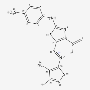 C=C(C)c1nc(Nc2ccc(S(=O)(=O)O)cc2)sc1/N=N/c1snc(C)c1C#N